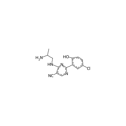 CC(N)CNc1nc(-c2cc(Cl)ccc2O)ncc1C#N